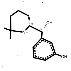 CC1(C)CCC[C@H]([C@H](O)c2cccc(O)c2)N1